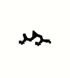 BC(C)CC1CC1OC(C)=O